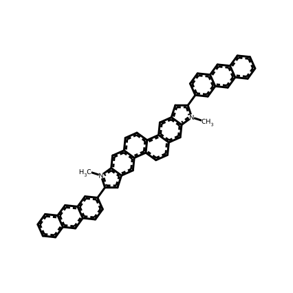 Cn1c(-c2ccc3cc4ccccc4cc3c2)cc2cc3c(ccc4c5cc6cc(-c7ccc8cc9ccccc9cc8c7)n(C)c6cc5ccc34)cc21